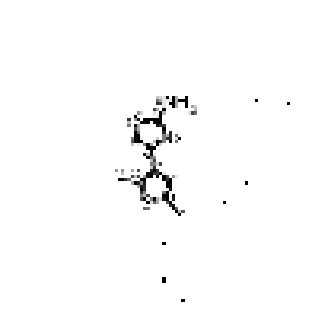 Cc1cc(-c2csc(N)n2)c(C)s1